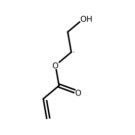 C=CC(=O)O[CH]CO